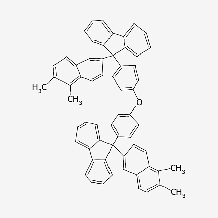 Cc1ccc2cc(C3(c4ccc(Oc5ccc(C6(c7ccc8c(C)c(C)ccc8c7)c7ccccc7-c7ccccc76)cc5)cc4)c4ccccc4-c4ccccc43)ccc2c1C